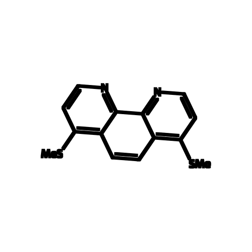 CSc1ccnc2c1ccc1c(SC)ccnc12